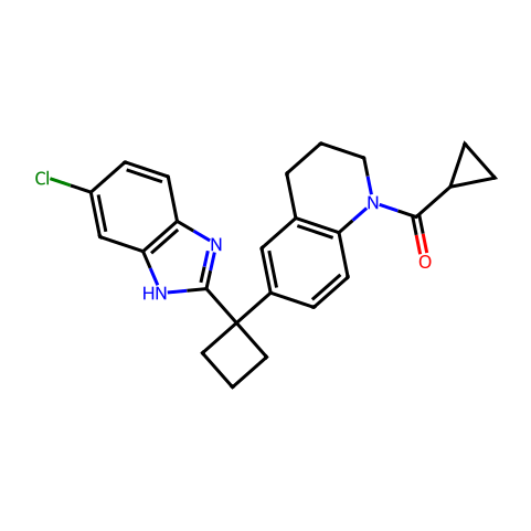 O=C(C1CC1)N1CCCc2cc(C3(c4nc5ccc(Cl)cc5[nH]4)CCC3)ccc21